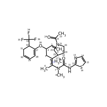 C=CC(C/C(=C(\C)N(C)C(=O)Nc1nccs1)[C@]1(C)CCN(C(C)=O)C1)OC1=CC=CCC1C(F)(F)F